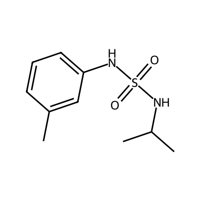 Cc1cccc(NS(=O)(=O)NC(C)C)c1